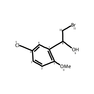 COc1ccc(Cl)cc1C(O)CBr